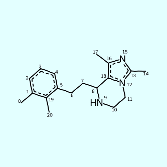 Cc1cccc(CCC2NCCn3c(C)nc(C)c32)c1C